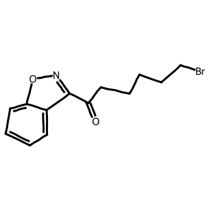 O=C(CCCCCBr)c1noc2ccccc12